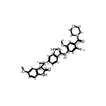 COc1ccc2c(c1)[C@]1(C[C@H]1c1ccc3c(Nc4cc(F)c(C(=O)N5CCOCC5)cc4OC)n[nH]c3c1)C(=O)N2